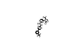 C[C@H](Nc1nccc(N2C(=O)OC[C@@H]2[C@H](C)F)n1)c1ncc(-c2cccc(C(F)(F)F)c2)cn1